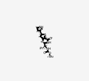 CC(C)[C@H](NC(=O)OC(C)(C)C)c1nc2cc(-c3cc[nH]n3)sc2c(=O)[nH]1